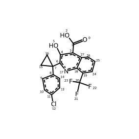 O=C(O)c1c(O)c(C2(c3ccc(Cl)cc3)CC2)nc2c(C(F)(F)F)cccc12